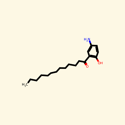 CCCCCCCCCCCCC(=O)c1cc(N)ccc1O